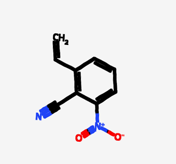 C=Cc1cccc([N+](=O)[O-])c1C#N